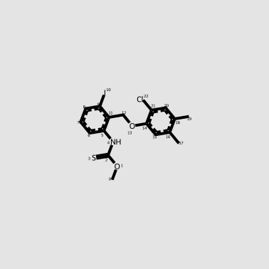 COC(=S)Nc1cccc(I)c1COc1cc(C)c(C)cc1Cl